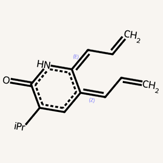 C=C/C=c1/cc(C(C)C)c(=O)[nH]/c1=C/C=C